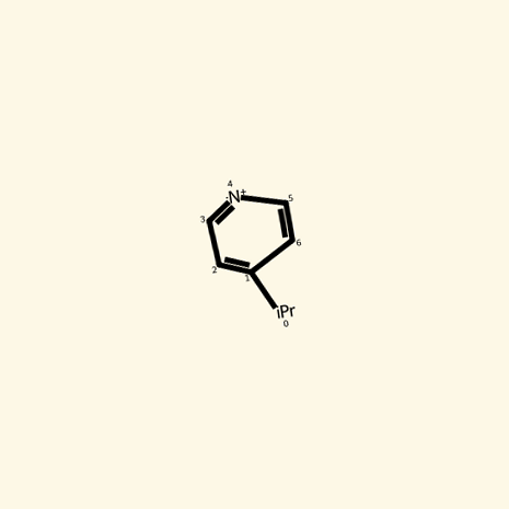 CC(C)C1=CC=[N+]C=C1